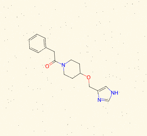 O=C(Cc1ccccc1)N1CCC(OCc2c[nH]cn2)CC1